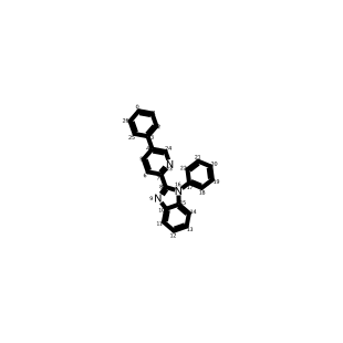 c1ccc(-c2ccc(-c3nc4ccccc4n3-c3ccccc3)nc2)cc1